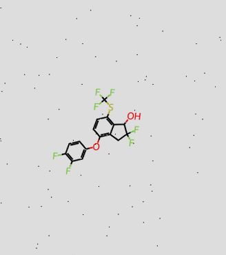 OC1c2c(SC(F)(F)F)ccc(Oc3ccc(F)c(F)c3)c2CC1(F)F